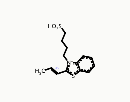 C/C=C/c1sc2ccccc2[n+]1CCCCS(=O)(=O)O